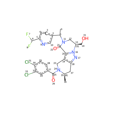 CC(c1ccc(C(F)F)nc1)N1C[C@@H](CO)n2nc3c(c2C1=O)CN(C(=O)c1ccc(Cl)c(Cl)c1)[C@H](C)C3